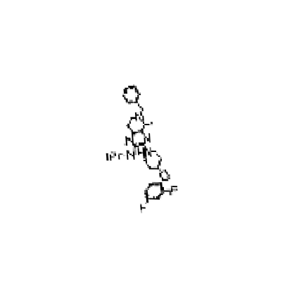 CC(C)Nc1nc2c(nc1N1CCC(Oc3ccc(F)cc3F)CC1)C(C)N(Cc1ccccc1)CC2